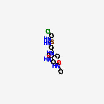 O=C1Nc2ccc(C(=O)NCc3ccccc3)cc2/C1=C(/NCc1ccc(NC(=S)Nc2cccc(Cl)c2)cc1)c1ccccc1